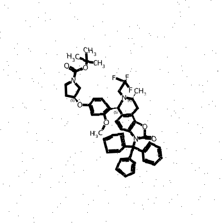 COc1cc(O[C@H]2CCN(C(=O)OC(C)(C)C)C2)ccc1[C@@H]1c2ccc3c(oc(=O)n3C(c3ccccc3)(c3ccccc3)c3ccccc3)c2C[C@@H](C)N1CC(F)(F)F